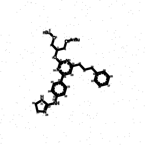 CCCCOCC(COCCCC)Oc1nc(CCCc2ccccc2)cc(-c2ccc(NC3=NCCN3)cc2)n1